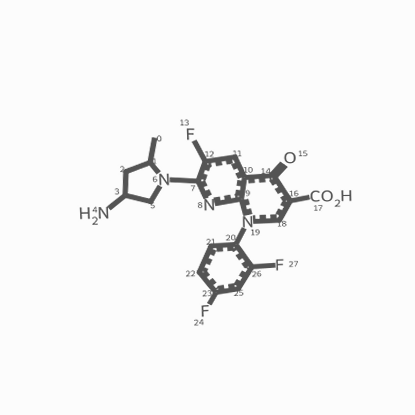 CC1CC(N)CN1c1nc2c(cc1F)c(=O)c(C(=O)O)cn2-c1ccc(F)cc1F